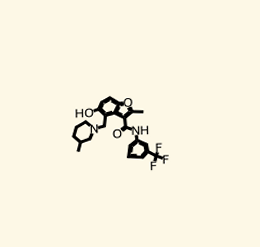 Cc1oc2ccc(O)c(CN3CCCC(C)C3)c2c1C(=O)Nc1cccc(C(F)(F)F)c1